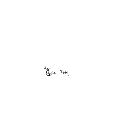 [Ag].[Cu].[SeH2].[TeH2]